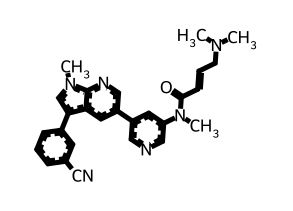 CN(C)C/C=C/C(=O)N(C)c1cncc(-c2cnc3c(c2)c(-c2cccc(C#N)c2)cn3C)c1